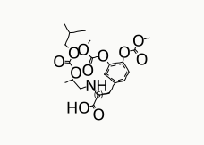 COC(=O)Oc1ccc(C[C@H](NCC(C)OC(=O)OCC(C)C)C(=O)O)cc1OC(=O)OC